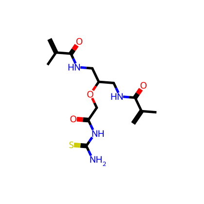 C=C(C)C(=O)NCC(CNC(=O)C(=C)C)OCC(=O)NC(N)=S